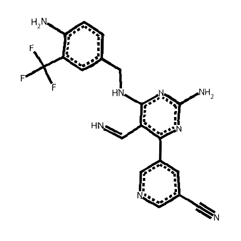 N#Cc1cncc(-c2nc(N)nc(NCc3ccc(N)c(C(F)(F)F)c3)c2C=N)c1